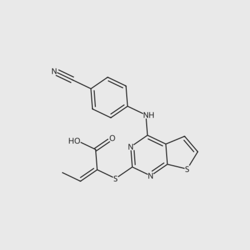 CC=C(Sc1nc(Nc2ccc(C#N)cc2)c2ccsc2n1)C(=O)O